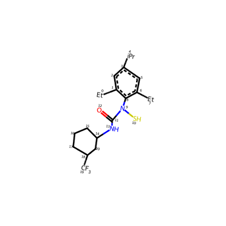 CCc1cc(C(C)C)cc(CC)c1N(S)C(=O)NC1CCCC(C(F)(F)F)C1